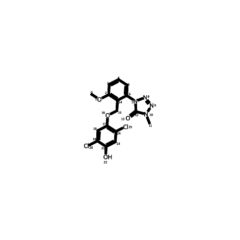 COc1cccc(-n2nnn(C)c2=O)c1COc1cc(Cl)c(O)cc1Cl